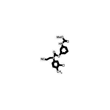 COC(=O)Nc1cccc(OC(=O)N(CCC#N)c2ccc(C)c(Cl)c2)c1